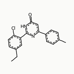 CCc1ccc(Cl)c(-c2nc(-c3ccc(C)cc3)cc(=O)[nH]2)c1